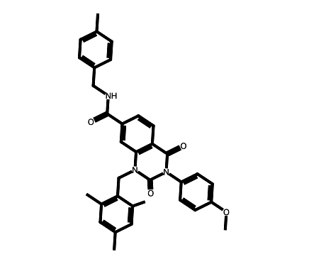 COc1ccc(-n2c(=O)c3ccc(C(=O)NCc4ccc(C)cc4)cc3n(Cc3c(C)cc(C)cc3C)c2=O)cc1